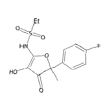 CCS(=O)(=O)NC1=C(O)C(=O)C(C)(c2ccc(F)cc2)O1